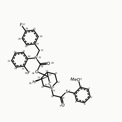 COc1ccccc1SC(=O)C[N+]12CCC(CC1)[C@@H](OC(=O)N(Cc1ccc(F)cc1)c1ccccc1F)C2